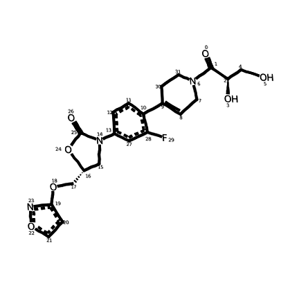 O=C([C@H](O)CO)N1CC=C(c2ccc(N3C[C@H](COc4ccon4)OC3=O)cc2F)CC1